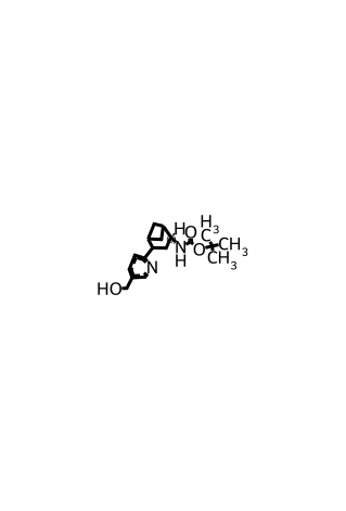 CC(C)(C)OC(=O)N[C@H]1CC(c2ccc(CO)cn2)C2CC1C2